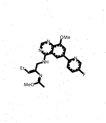 CC/C=C(CNc1ncnc2c(OC)cc(-c3ccc(F)cn3)cc12)/N=C(/C)OC